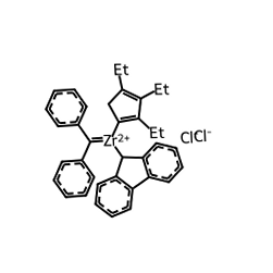 CCC1=C(CC)C(CC)=[C]([Zr+2](=[C](c2ccccc2)c2ccccc2)[CH]2c3ccccc3-c3ccccc32)C1.[Cl-].[Cl-]